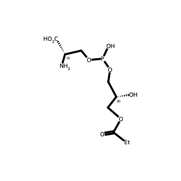 CCC(=O)OC[C@@H](O)COP(O)OC[C@H](N)C(=O)O